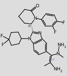 C/C(N)=C(\c1ccc2c(c1)nc([C@@H]1CCCC(=O)N1c1ccc(F)c(F)c1)n2C1CCC(F)(F)CC1)N(C)N